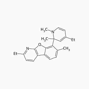 CCC1=CC(C)(c2c(C)ccc3c2oc2nc(CC)ccc23)N(C)C=C1